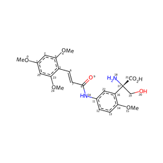 COc1cc(OC)c(C=CC(=O)Nc2ccc(OC)c([C@](N)(CO)C(=O)O)c2)c(OC)c1